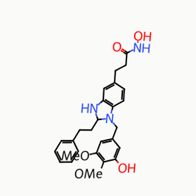 COc1cc(CN2c3ccc(CCC(=O)NO)cc3NC2CCc2ccccc2)cc(O)c1OC